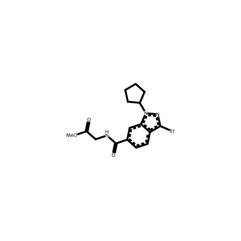 CCc1nn(C2CCCC2)c2cc(C(=O)NCC(=O)OC)ccc12